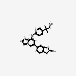 CC(C)(CO)c1ccc(Nc2cc(-c3ccc4c(c3)NC(=O)C4)cn3ccnc23)nc1